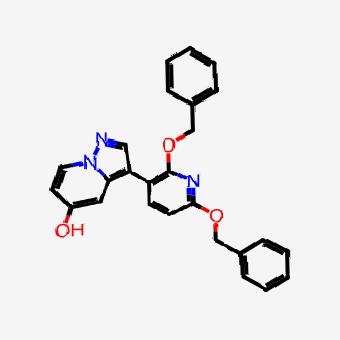 Oc1ccn2ncc(-c3ccc(OCc4ccccc4)nc3OCc3ccccc3)c2c1